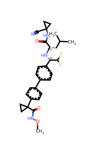 CONC(=O)C1(c2ccc(-c3ccc([C@H](N[C@@H](CC(C)C)C(=O)NC4(C#N)CC4)C(F)F)cc3)cc2)CC1